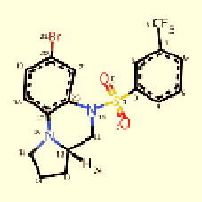 O=S(=O)(c1cccc(C(F)(F)F)c1)N1C[C@@H]2CCCN2c2ccc(Br)cc21